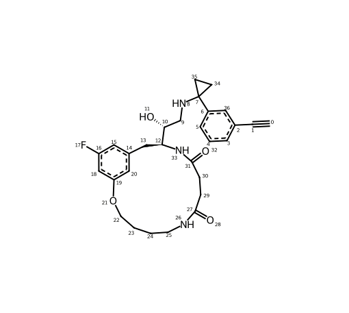 C#Cc1cccc(C2(NC[C@@H](O)[C@@H]3Cc4cc(F)cc(c4)OCCCCNC(=O)CCC(=O)N3)CC2)c1